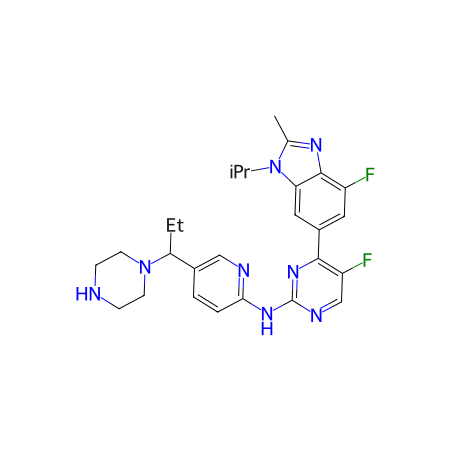 CCC(c1ccc(Nc2ncc(F)c(-c3cc(F)c4nc(C)n(C(C)C)c4c3)n2)nc1)N1CCNCC1